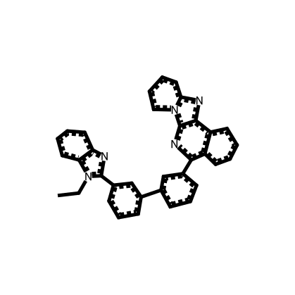 CCn1c(-c2cccc(-c3cccc(-c4nc5c(nc6ccccn65)c5ccccc45)c3)c2)nc2ccccc21